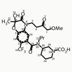 COCC(=O)CCN1C(=O)C(C)(C)Oc2cc(C(F)(F)F)c(C(=O)N(C(C)C)[C@@H]3CCCN(C(=O)O)C3)cc21